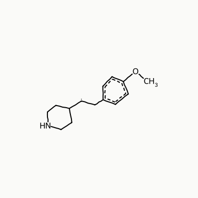 COc1ccc(C[CH]C2CCNCC2)cc1